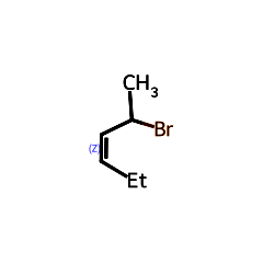 CC/C=C\C(C)Br